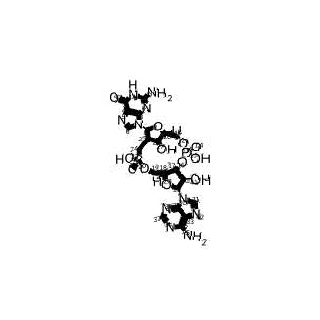 Nc1nc2c(ncn2[C@@H]2O[C@@H]3COP(=O)(O)OC4[C@@H](COP(=O)(O)CC2C3O)O[C@@H](n2cnc3c(N)ncnc32)[C@H]4O)c(=O)[nH]1